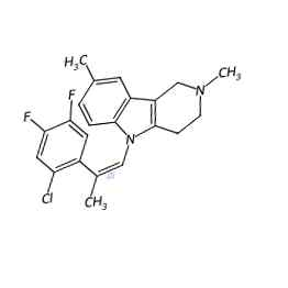 C/C(=C/n1c2c(c3cc(C)ccc31)CN(C)CC2)c1cc(F)c(F)cc1Cl